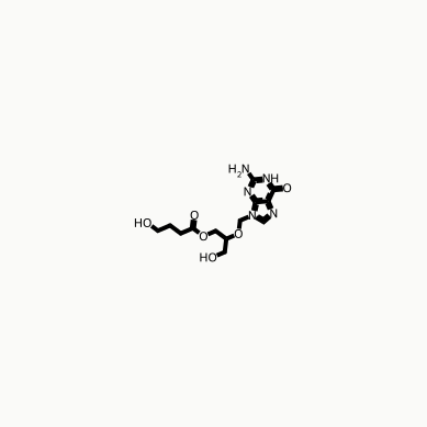 Nc1nc2c(ncn2COC(CO)COC(=O)CCCO)c(=O)[nH]1